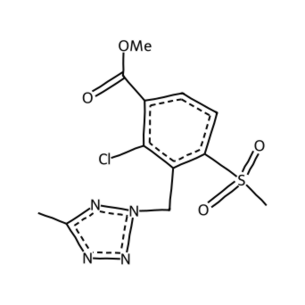 COC(=O)c1ccc(S(C)(=O)=O)c(Cn2nnc(C)n2)c1Cl